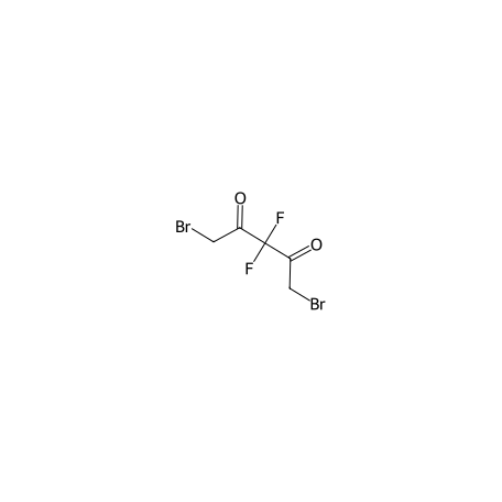 O=C(CBr)C(F)(F)C(=O)CBr